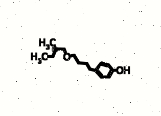 CC[C@H](C)COCCCCc1ccc(O)cc1